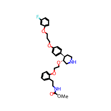 COC(=O)NCCc1ccccc1OCCO[C@H]1CNCC[C@@H]1c1ccc(OCCCOc2cccc(F)c2)cc1